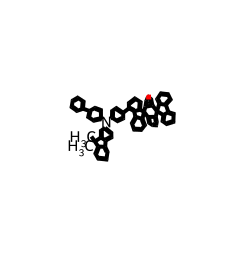 CC1(C)c2ccccc2-c2ccc(N(c3ccc(-c4ccccc4)cc3)c3ccc(-c4cccc5c4-c4ccccc4C54c5ccccc5C5(c6ccccc6-c6ccccc65)c5ccccc54)cc3)cc21